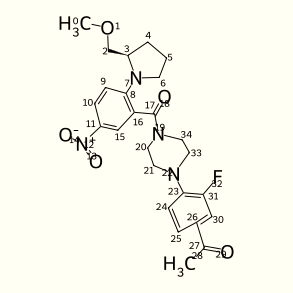 COC[C@H]1CCCN1c1ccc([N+](=O)[O-])cc1C(=O)N1CCN(c2ccc(C(C)=O)cc2F)CC1